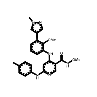 CONC(=O)c1cnc(Nc2ccc(C)cc2)cc1Nc1cccc(-c2cnn(C)c2)c1OC